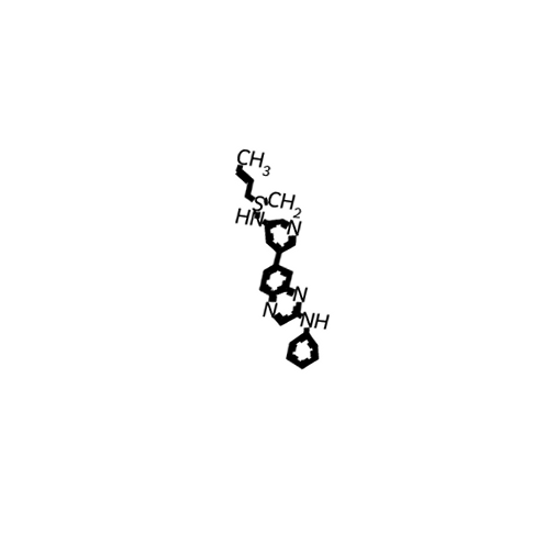 C=S(CC=CC)Nc1cncc(-c2ccc3ncc(Nc4ccccc4)nc3c2)c1